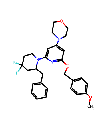 COc1ccc(COc2cc(N3CCOCC3)cc(N3CCC(F)(F)CC3Cc3ccccc3)n2)cc1